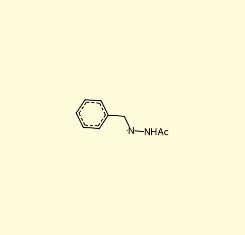 CC(=O)N[N]Cc1ccccc1